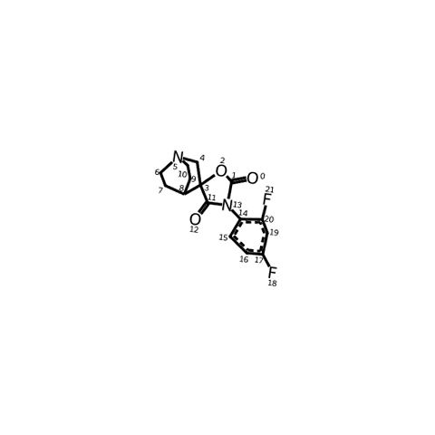 O=C1OC2(CN3CCC2CC3)C(=O)N1c1ccc(F)cc1F